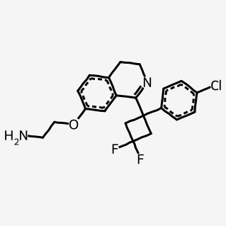 NCCOc1ccc2c(c1)C(C1(c3ccc(Cl)cc3)CC(F)(F)C1)=NCC2